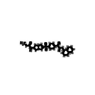 C=CC(=O)NC1CC2CN(S(=O)(=O)c3ccc(C(=O)NCc4cccc5ccccc45)cc3)CC2C1